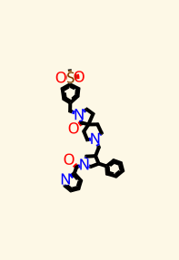 CS(=O)(=O)c1ccc(CN2CCC3(CCN(CC4CN(C(=O)c5ccccn5)CC4c4ccccc4)CC3)C2=O)cc1